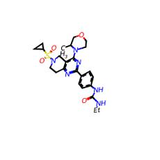 CCNC(=O)Nc1ccc(-c2nc3c(c(N4CCOCC4C)n2)CN(S(=O)(=O)C2CC2)CC3)cc1